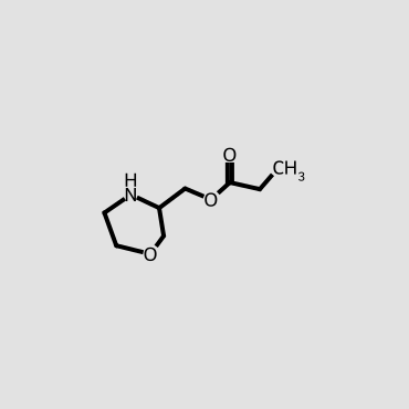 CCC(=O)OCC1COCCN1